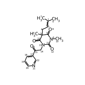 CC(C)=CCC1(C)C(=O)N(C)C(=O)N(CC(=O)c2cccnc2)C1=O